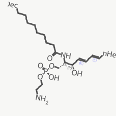 CCCCCCC/C=C/C=C/[C@@H](O)[C@H](COP(=O)(O)OCCN)NC(=O)CCCCCCCCCCCCCCCCCC